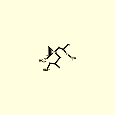 CC(CC(C)(C)C)C[PH]1(CC(C)CC(C)(C)C)C=C1C(=O)O